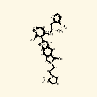 Cc1ccsc1C[C@H](C)Nc1cc[nH]c(=O)c1-c1nc2cc3c(cc2[nH]1)CN(CCN1CCC[C@@H]1C)C3=O